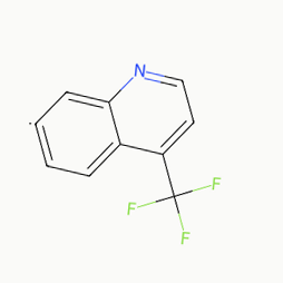 FC(F)(F)c1ccnc2c[c]ccc12